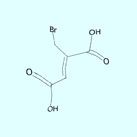 O=C(O)C=C(CBr)C(=O)O